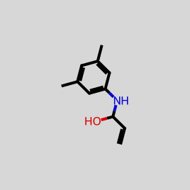 C=CC(O)Nc1cc(C)cc(C)c1